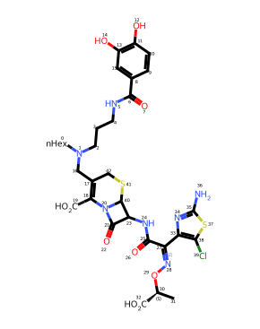 CCCCCCN(CCCNC(=O)c1ccc(O)c(O)c1)CC1=C(C(=O)O)N2C(=O)C(NC(=O)/C(=N\O[C@@H](C)C(=O)O)c3nc(N)sc3Cl)C2SC1